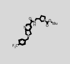 CC(C)(C)OC(=O)N1CCC(CNC(=O)c2cnc3c(c2)CN(Cc2ccc(C(F)(F)F)cc2)C3)C1